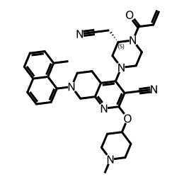 C=CC(=O)N1CCN(c2c(C#N)c(OC3CCN(C)CC3)nc3c2CCN(c2cccc4cccc(C)c24)C3)C[C@@H]1CC#N